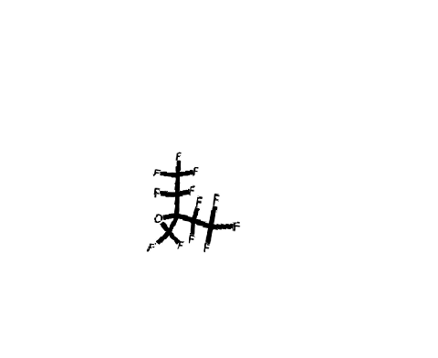 FC(F)(F)C(F)(F)C1(C(F)(F)C(F)(F)F)OC1(F)F